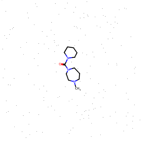 CN1CCCN(C(=O)N2CC[CH]CC2)CC1